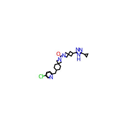 O=C(N1CC2(CCC(Cc3ccc(Cl)cn3)CC2)C1)N1CC2(CC(c3nnc(C4CC4)[nH]3)C2)C1